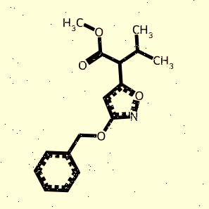 COC(=O)C(c1cc(OCc2ccccc2)no1)C(C)C